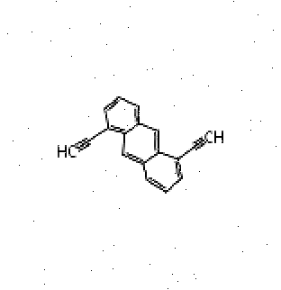 C#Cc1cccc2cc3c(C#C)cccc3cc12